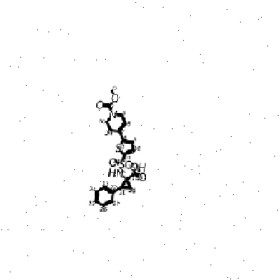 COC(=O)N1CC=C(c2ccc(S(=O)(=O)N[C@@]3(C(=O)O)CC3c3ccccc3)s2)CC1